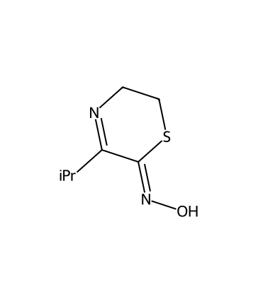 CC(C)C1=NCCSC1=NO